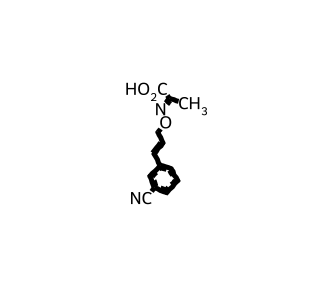 CC(=NOC/C=C/c1cccc(C#N)c1)C(=O)O